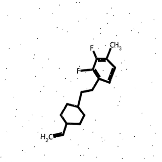 C=CC1CCC(CCc2ccc(C)c(F)c2F)CC1